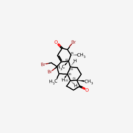 CC1[C@@H]2[C@H](CC[C@]3(C)C(=O)CC[C@@H]23)[C@]2(C)C(=CC(=O)C(Br)[C@@H]2C)C1(Br)CBr